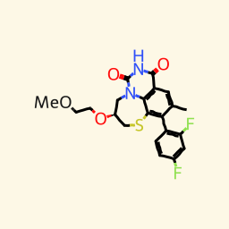 COCCO[C@@H]1CSc2c(-c3ccc(F)cc3F)c(C)cc3c(=O)[nH]c(=O)n(c23)C1